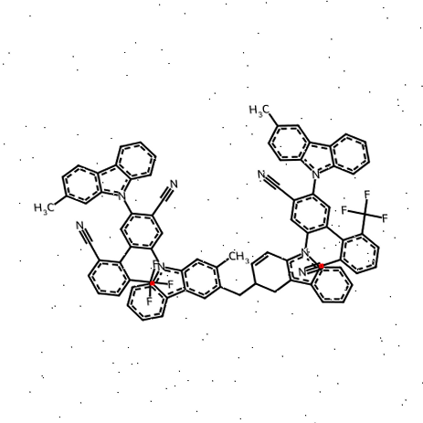 Cc1ccc2c(c1)c1ccccc1n2-c1cc(-c2c(C#N)cccc2C(F)(F)F)c(-n2c3c(c4ccccc42)CC(Cc2cc4c5ccccc5n(-c5cc(C#N)c(-n6c7ccccc7c7ccc(C)cc76)cc5-c5c(C#N)cccc5C(F)(F)F)c4cc2C)C=C3)cc1C#N